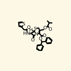 CC(C)C(=O)OCC1=C(C(=O)OC(c2ccccc2)c2ccccc2)N2C(=O)[C@@H](NC(=O)Cc3cccs3)[C@@H]2SC1